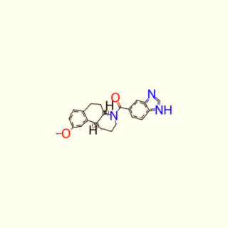 COc1ccc2c(c1)[C@@H]1CCCN(C(=O)c3ccc4[nH]cnc4c3)[C@H]1CC2